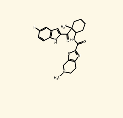 CN1CCc2nc(C(=O)NC3CCCCC3(N)C(=O)c3cc4cc(F)ccc4[nH]3)sc2C1